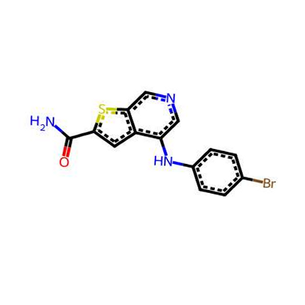 NC(=O)c1cc2c(Nc3ccc(Br)cc3)cncc2s1